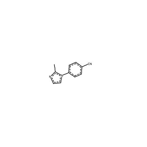 Cc1nccn1-c1ccc(C#N)cc1